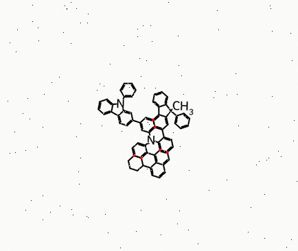 CC1(c2ccccc2)c2ccccc2-c2ccc(-c3ccccc3N(c3cccc(-c4ccc5c6ccccc6n(-c6ccccc6)c5c4)c3)c3ccccc3-c3cccc4cccc(C5CCCCC5)c34)cc21